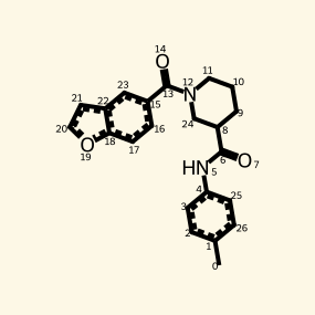 Cc1ccc(NC(=O)C2CCCN(C(=O)c3ccc4occc4c3)C2)cc1